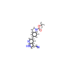 CC(C)(C)OC(=O)N1CCc2cc(-c3cnc4[nH]cc(C#N)c4c3)ccc21